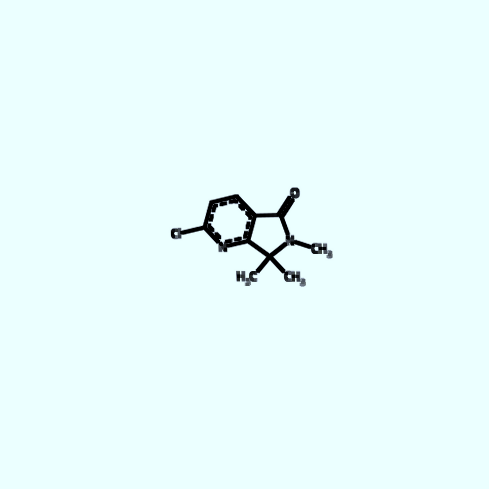 CN1C(=O)c2ccc(Cl)nc2C1(C)C